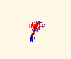 [N-]=[N+]=NCCOCCOCCNC(=O)C(O)C(O)C(O)C(O)C(N)=O